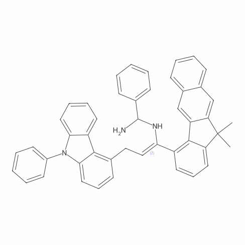 CC1(C)c2cc3ccccc3cc2-c2c(/C(=C/Cc3cccc4c3c3ccccc3n4-c3ccccc3)NC(N)c3ccccc3)cccc21